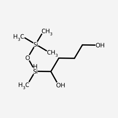 C[SiH](O[Si](C)(C)C)C(O)CCCO